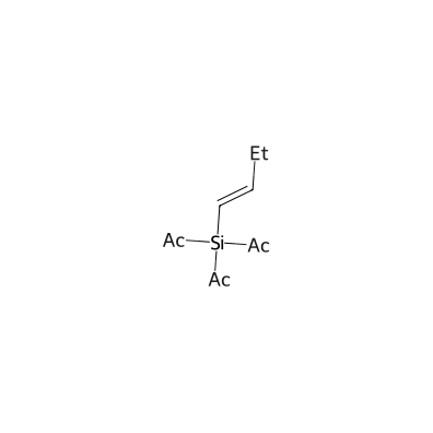 CCC=C[Si](C(C)=O)(C(C)=O)C(C)=O